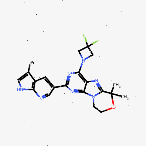 CC(C)c1c[nH]c2ncc(-c3nc(N4CC(F)(F)C4)c4nc5n(c4n3)CCOC5(C)C)cc12